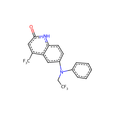 O=c1cc(C(F)(F)F)c2cc(N(CC(F)(F)F)c3ccccc3)ccc2[nH]1